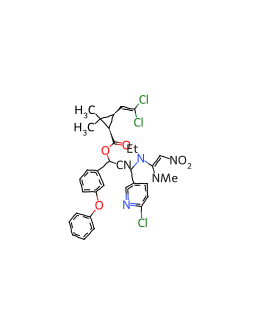 CC1(C)[C@H](C(=O)OC(C#N)c2cccc(Oc3ccccc3)c2)[C@@H]1C=C(Cl)Cl.CCN(Cc1ccc(Cl)nc1)/C(=C/[N+](=O)[O-])NC